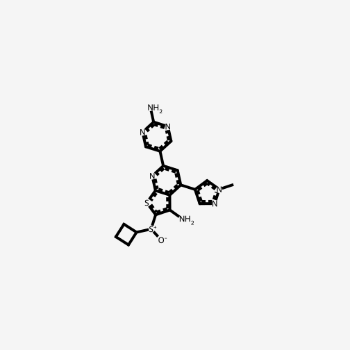 Cn1cc(-c2cc(-c3cnc(N)nc3)nc3sc([S+]([O-])C4CCC4)c(N)c23)cn1